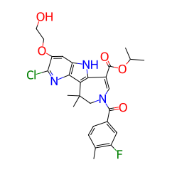 Cc1ccc(C(=O)N2C=C(C(=O)OC(C)C)c3[nH]c4cc(OCCO)c(Cl)nc4c3C(C)(C)C2)cc1F